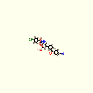 N#Cc1ccc(C(=O)c2cccc(C(CCNS(=O)(=O)c3ccc(Cl)cc3)CC(=O)O)c2)cc1